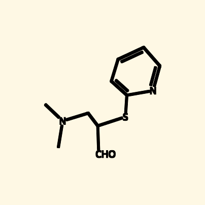 CN(C)CC(C=O)Sc1ccccn1